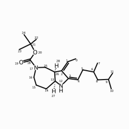 C/C=C1\C(=C/CC(C)CC(C)C)N[C@H]2CCCN(C(=O)OC(C)(C)C)C[C@@H]12